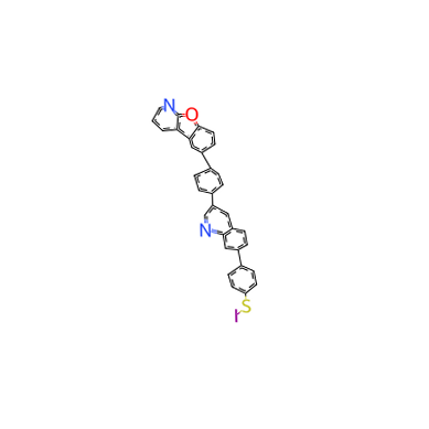 ISc1ccc(-c2ccc3cc(-c4ccc(-c5ccc6oc7ncccc7c6c5)cc4)cnc3c2)cc1